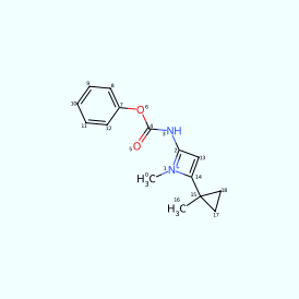 C[N+]1=C(NC(=O)Oc2ccccc2)C=C1C1(C)CC1